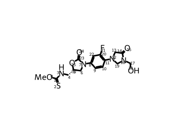 COC(=S)NC[C@H]1CN(c2ccc(N3CC(=O)N(CO)C3)c(F)c2)C(=O)O1